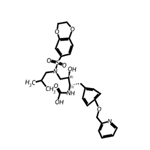 CC(C)CN(C[C@@H](O)[C@H](Cc1ccc(OCc2ccccn2)cc1)NC(=O)O)S(=O)(=O)c1ccc2c(c1)OCCO2